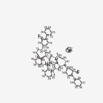 CCC1=[C]([Hf+2]([C]2=C(CC)C=C3C2=CC=CCC3c2ccc(-c3ccccc3)c(F)c2)=[C](c2ccccc2)c2ccccc2)C2=CC=CCC(c3ccc(-c4ccccc4)c(F)c3)C2=C1.[Cl-].[Cl-]